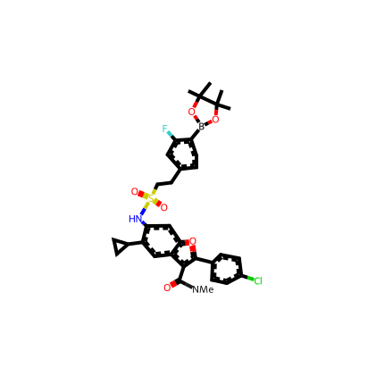 CNC(=O)c1c(-c2ccc(Cl)cc2)oc2cc(NS(=O)(=O)CCc3ccc(B4OC(C)(C)C(C)(C)O4)c(F)c3)c(C3CC3)cc12